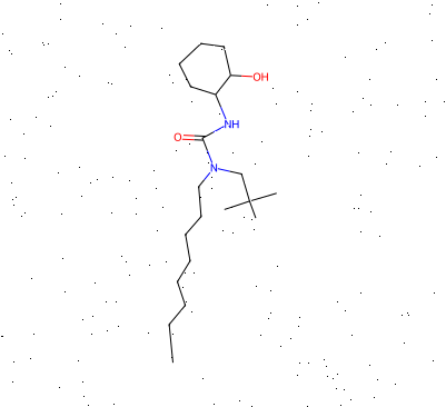 CCCCCCCCN(CC(C)(C)C)C(=O)NC1CCCCC1O